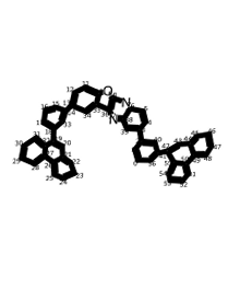 c1cc(-c2ccc3nc4oc5ccc(-c6cccc(-c7cc8ccccc8c8ccccc78)c6)cc5c4nc3c2)cc(-c2cc3ccccc3c3ccccc23)c1